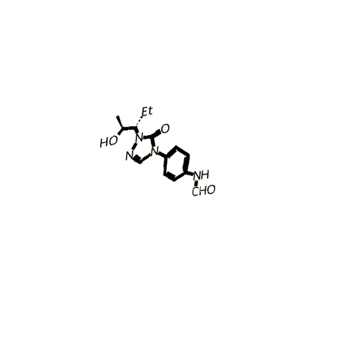 CC[C@@H]([C@H](C)O)n1ncn(-c2ccc(NC=O)cc2)c1=O